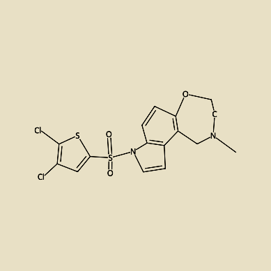 CN1CCOc2ccc3c(ccn3S(=O)(=O)c3cc(Cl)c(Cl)s3)c2C1